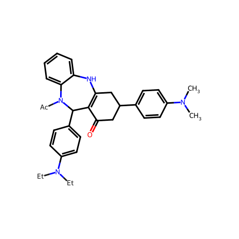 CCN(CC)c1ccc(C2C3=C(CC(c4ccc(N(C)C)cc4)CC3=O)Nc3ccccc3N2C(C)=O)cc1